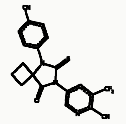 N#Cc1ccc(N2C(=S)N(c3cnc(C#N)c(C(F)(F)F)c3)C(=O)C23CCC3)cc1